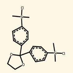 C[Si](C)(Cl)c1ccc(C2(c3ccc([Si](C)(C)Cl)cc3)OCCO2)cc1